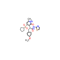 COc1ccc(CC(C(=O)Nc2nccs2)c2c(S(=O)(=O)C3CCCC3)cc(C)[nH]c2=O)cc1